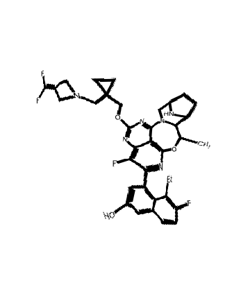 CCc1c(F)ccc2cc(O)cc(-c3nc4c5c(nc(OCC6(CN7CC(=C(F)F)C7)CC6)nc5c3F)N3CC5CCC(N5)C3C(C)O4)c12